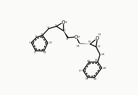 c1ccc(CC2O[C@H]2COC[C@@H]2OC2Cc2ccccc2)cc1